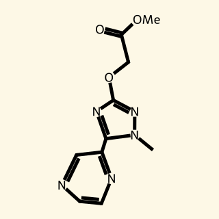 COC(=O)COc1nc(-c2cnccn2)n(C)n1